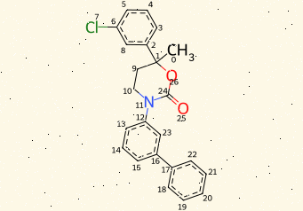 CC1(c2cccc(Cl)c2)CCN(c2cccc(-c3ccccc3)c2)C(=O)O1